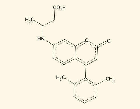 Cc1cccc(C)c1-c1cc(=O)oc2cc(NC(C)CC(=O)O)ccc12